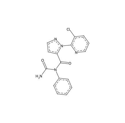 NC(=O)N(C(=O)c1ccnn1-c1ncccc1Cl)c1ccccc1